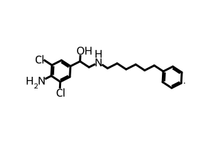 Nc1c(Cl)cc(C(O)CNCCCCCCc2cc[c]cc2)cc1Cl